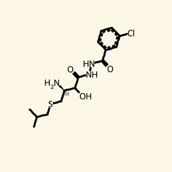 CC(C)CSC[C@@H](N)C(O)C(=O)NNC(=O)c1cccc(Cl)c1